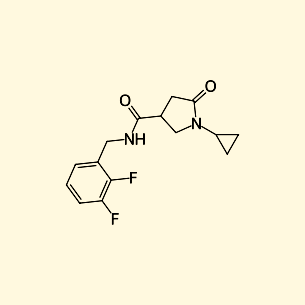 O=C(NCc1cccc(F)c1F)C1CC(=O)N(C2CC2)C1